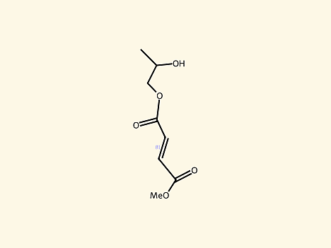 COC(=O)/C=C/C(=O)OCC(C)O